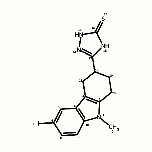 Cn1c2c(c3cc(I)ccc31)CC(c1n[nH]c(=S)[nH]1)CC2